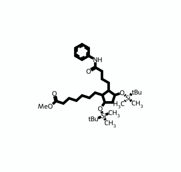 COC(=O)CCCCCCC1C(O[Si](C)(C)C(C)(C)C)CC(O[Si](C)(C)C(C)(C)C)C1CCCC(=O)Nc1ccccc1